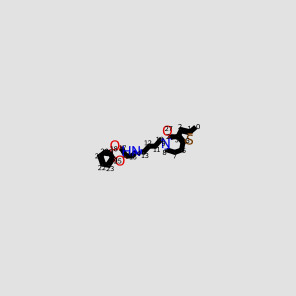 Cc1cc2c(s1)CCCN(CCCCNCC1COc3ccccc3O1)C2=O